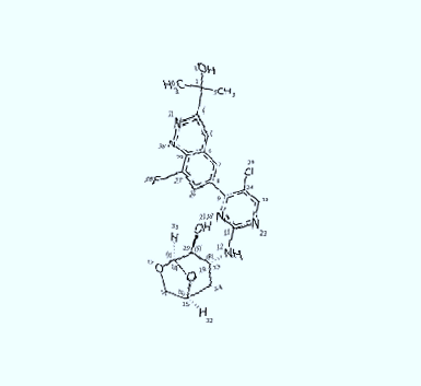 CC(C)(O)c1cc2cc(-c3nc(N[C@@H]4C[C@H]5CO[C@H](O5)[C@H]4O)ncc3Cl)cc(F)c2nn1